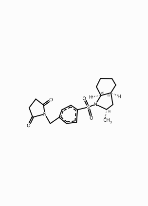 C[C@H]1C[C@@H]2CCCC[C@@H]2N1S(=O)(=O)c1ccc(CN2C(=O)CCC2=O)cc1